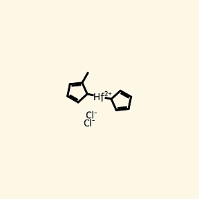 CC1=CC=C[CH]1[Hf+2][CH]1C=CC=C1.[Cl-].[Cl-]